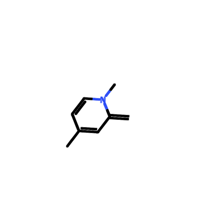 C=C1C=C(C)C=CN1C